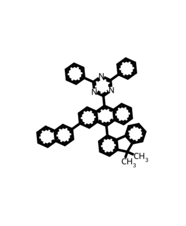 CC1(C)c2ccccc2-c2c(-c3c4ccccc4c(-c4nc(-c5ccccc5)nc(-c5ccccc5)n4)c4ccc(-c5ccc6ccccc6c5)cc34)cccc21